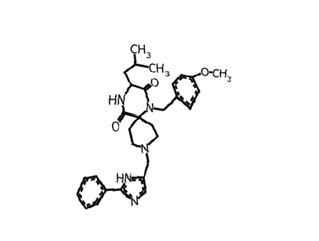 COc1ccc(CN2C(=O)C(CC(C)C)NC(=O)C23CCN(Cc2cnc(-c4ccccc4)[nH]2)CC3)cc1